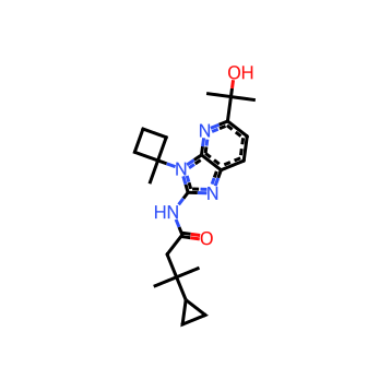 CC(C)(O)c1ccc2nc(NC(=O)CC(C)(C)C3CC3)n(C3(C)CCC3)c2n1